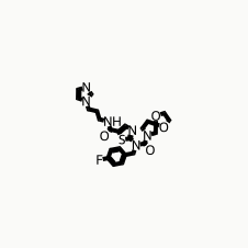 O=C(NCCCn1ccnc1)c1cnc(N(Cc2ccc(F)cc2)C(=O)N2CCC3(C2)OCCO3)s1